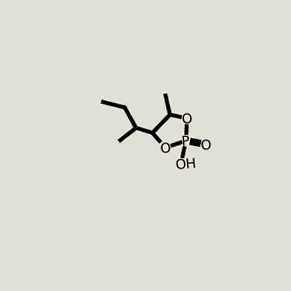 CCC(C)C1OP(=O)(O)OC1C